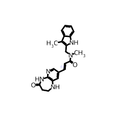 Cc1c(CN(C)C(=O)/C=C/c2cnc3c(c2)NCCC(=O)N3)[nH]c2ccccc12